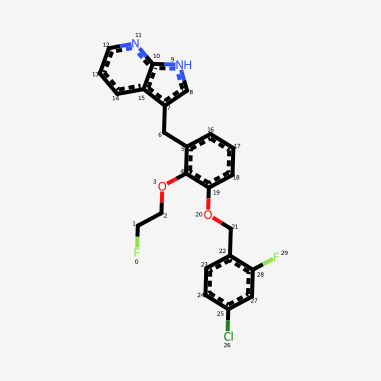 FCCOc1c(Cc2c[nH]c3ncccc23)cccc1OCc1ccc(Cl)cc1F